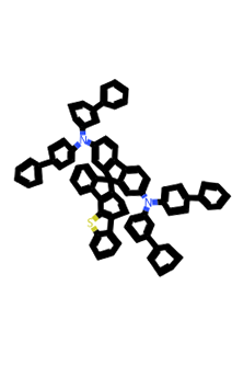 c1ccc(-c2ccc(N(c3cccc(-c4ccccc4)c3)c3ccc4c(c3)C3(c5cc(N(c6ccc(-c7ccccc7)cc6)c6cccc(-c7ccccc7)c6)ccc5-4)c4ccccc4-c4c3ccc3c4sc4ccccc43)cc2)cc1